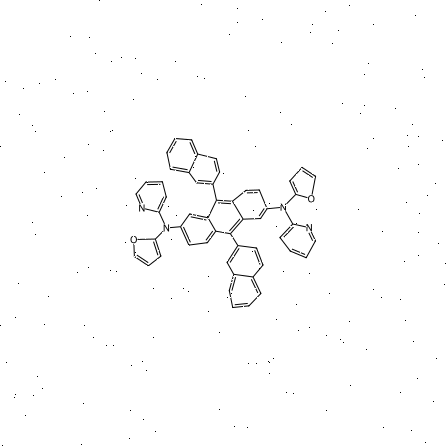 c1ccc(N(c2ccc3c(-c4ccc5ccccc5c4)c4cc(N(c5ccccn5)c5ccco5)ccc4c(-c4ccc5ccccc5c4)c3c2)c2ccco2)nc1